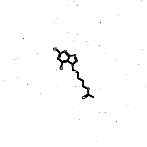 CC(=O)OCCCCCn1cnc2nc(Cl)nc(Cl)c21